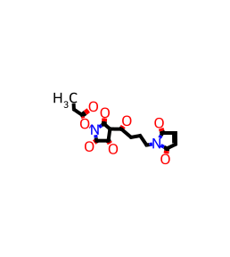 CCC(=O)ON1C(=O)C(=O)C(C(=O)CCCN2C(=O)C=CC2=O)C1=O